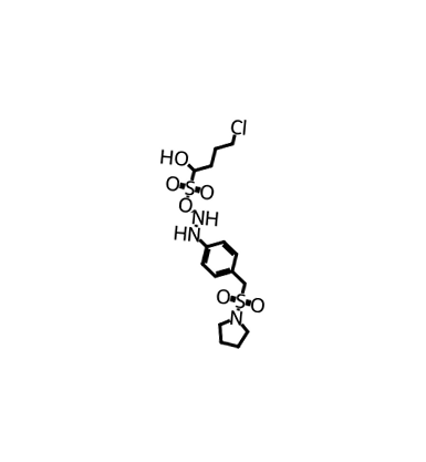 O=S(=O)(ONNc1ccc(CS(=O)(=O)N2CCCC2)cc1)C(O)CCCCl